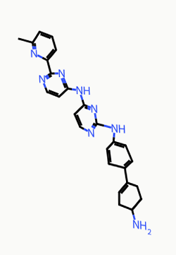 Cc1cccc(-c2nccc(Nc3ccnc(Nc4ccc(C5=CCC(N)CC5)cc4)n3)n2)n1